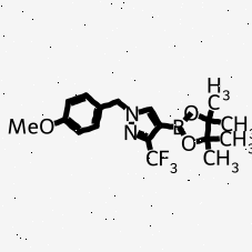 COc1ccc(Cn2cc(B3OC(C)(C)C(C)(C)O3)c(C(F)(F)F)n2)cc1